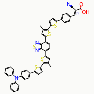 Cc1cc(-c2ccc(-c3cc(C)c(-c4ccc(-c5ccc(N(c6ccccc6)c6ccccc6)cc5)s4)s3)c3nsnc23)sc1-c1ccc(-c2ccc(/C=C(\C#N)C(=O)O)cc2)s1